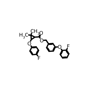 CC1(C)C(Oc2ccc(F)cc2)C1C(=O)OCc1cccc(Oc2ccccc2F)c1